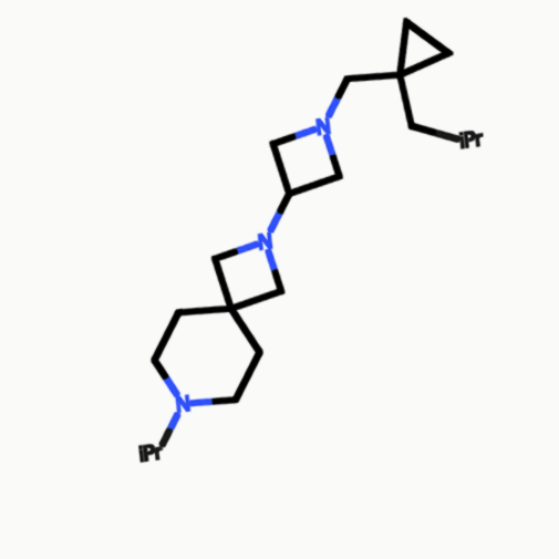 CC(C)CC1(CN2CC(N3CC4(CCN(C(C)C)CC4)C3)C2)CC1